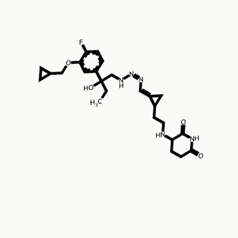 CCC(O)(CN/N=N\C=C1/CC1CCNC1CCC(=O)NC1=O)c1ccc(F)c(OCC2CC2)c1